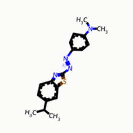 CC(C)c1ccc2nc(/N=N/c3ccc(N(C)C)cc3)sc2c1